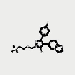 CCc1c(-c2ccc3nccn3c2)c(-c2ccc(F)cc2)nn1COCC[Si](C)(C)C